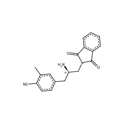 Cc1cc(C[C@@H](N)CN2C(=O)c3ccccc3C2=O)ccc1C#N